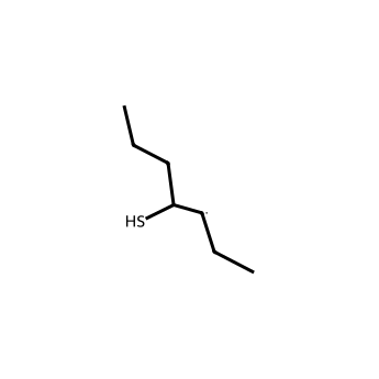 CC[CH]C(S)CCC